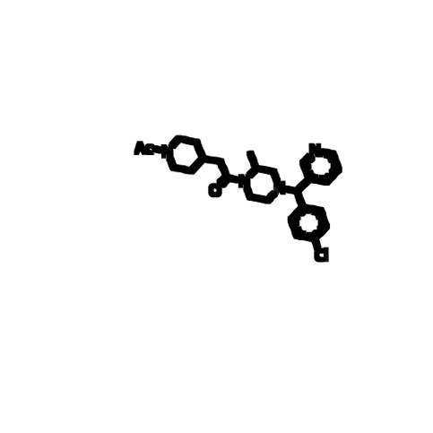 CC(=O)N1CCC(CC(=O)N2CCN(C(c3ccc(Cl)cc3)c3cccnc3)CC2C)CC1